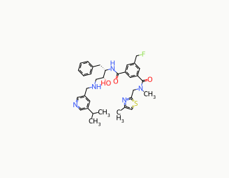 Cc1csc(CN(C)C(=O)c2cc(CF)cc(C(=O)N[C@@H](Cc3ccccc3)[C@H](O)CNCc3cncc(C(C)C)c3)c2)n1